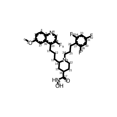 COc1ccc2ncc(F)c(CCCC3CC(C(=O)NO)CCN3CCCc3c(F)cc(F)cc3F)c2c1